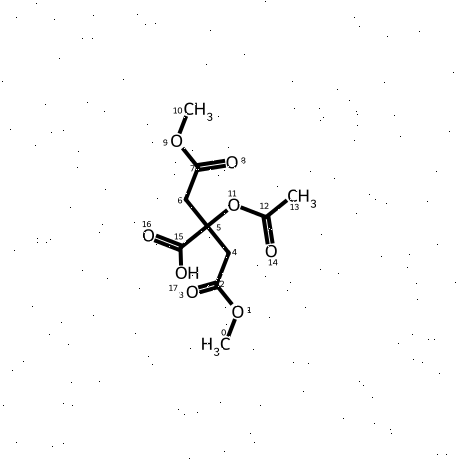 COC(=O)CC(CC(=O)OC)(OC(C)=O)C(=O)O